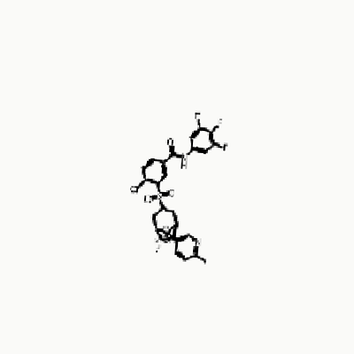 Cc1ccc([C@@]2(O)C3CC(S(=O)(=O)c4cc(C(=O)Nc5cc(F)c(F)c(F)c5)ccc4Cl)CC2[C@@H](C)C3)cn1